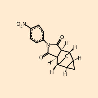 O=C1[C@@H]2[C@@H]3CC[C@@H]([C@H]4C[C@H]43)[C@@H]2C(=O)N1c1ccc([N+](=O)[O-])cc1